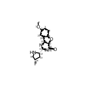 COc1ccc2oc3c(=O)[nH]c([C@@H]4C[C@H](F)CN4)nc3c2c1